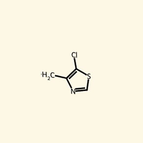 [CH2]c1ncsc1Cl